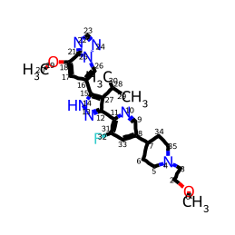 COCCN1CCC(c2cnc(-c3n[nH]c(-c4cc(OC)c5ncnn5c4)c3C(C)C)c(F)c2)CC1